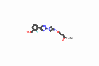 CNC(=O)CCCON=C1CN(c2ncc(-c3cccc(CO)c3F)cn2)C1